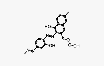 CN=Nc1ccc(N=Nc2c(SOOO)cc3cc(C)ccc3c2O)c(O)c1